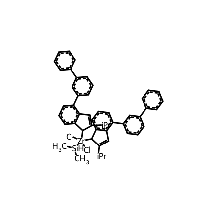 CC(C)C1=Cc2c(-c3cccc(-c4ccccc4)c3)cccc2[CH]1[Zr]([Cl])([Cl])([CH]1C(C(C)C)=Cc2c(-c3cccc(-c4ccccc4)c3)cccc21)[SiH](C)C